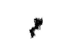 C=C1c2cc(-c3ccc(C4(C)CN4CN4CCC(CC)CC4)cc3)cc(Cl)c2CN1C(C(=S)Nc1ncc[nH]1)c1ncn2c1CCC2